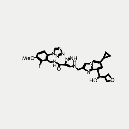 COc1ccc(-n2cnnn2)c(CNC(=O)/C(=C/NCc2cn3cc(C4CC4)cc(C(O)C4COC4)c3n2)N=N)c1F